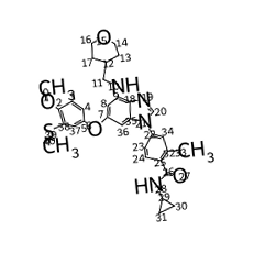 COc1ccc(Oc2cc(NCC3CCOCC3)c3ncn(-c4ccc(C(=O)NC5CC5)c(C)c4)c3c2)cc1SC